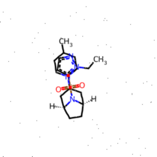 CCn1nccc1S(=O)(=O)N1[C@@H]2CC[C@H]1CC(N1CCC(C)CC1)C2